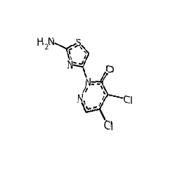 Nc1nc(-n2ncc(Cl)c(Cl)c2=O)cs1